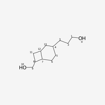 OCCCC1CCC2C(CO)CC2C1